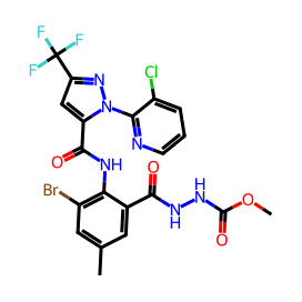 COC(=O)NNC(=O)c1cc(C)cc(Br)c1NC(=O)c1cc(C(F)(F)F)nn1-c1ncccc1Cl